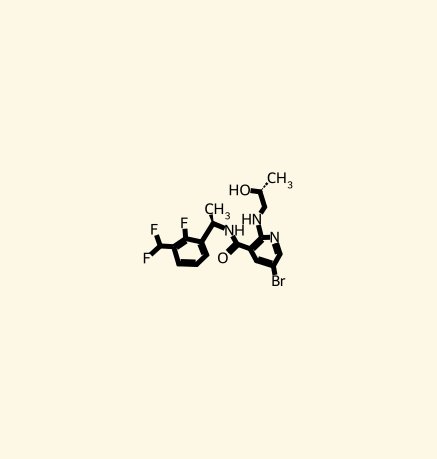 C[C@@H](O)CNc1ncc(Br)cc1C(=O)N[C@H](C)c1cccc(C(F)F)c1F